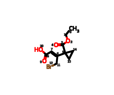 CCOC(=O)C1(C(=CC(=O)O)CBr)CC1